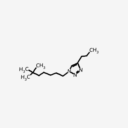 CCCc1cn(CCCCCC(C)(C)C)nn1